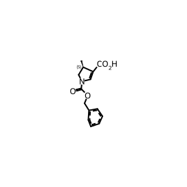 C[C@@H]1CN(C(=O)OCc2ccccc2)C=C1C(=O)O